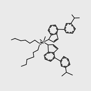 CCCCCC[Si](CCCCCC)=[Hf]([CH3])([CH3])([CH]1C=Cc2c(-c3cccc(C(C)C)c3)cccc21)[CH]1C=Cc2c(-c3cccc(C(C)C)c3)cccc21